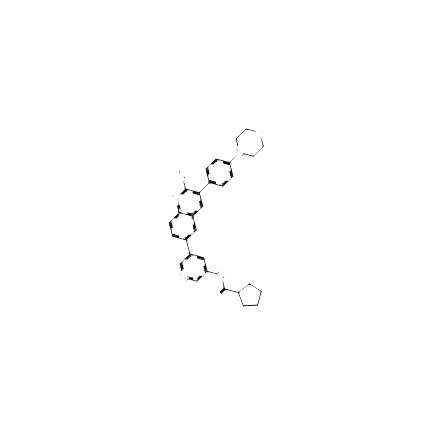 Nc1nc2ccc(-c3cncc(NC(=O)C4CCCC4)c3)cc2cc1-c1ccc(N2CCOCC2)cc1